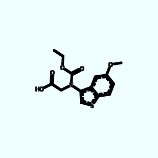 CCOC(=O)N(CC(=O)O)c1csc2ccc(OC)cc12